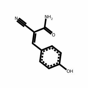 N#CC(=Cc1ccc(O)cc1)C(N)=O